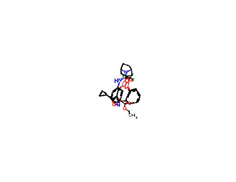 CCOC(=O)c1cccc(NC(=O)N2C3CCC2CC(OCc2c(-c4ccccc4OC(F)(F)F)noc2C2CC2)C3)c1